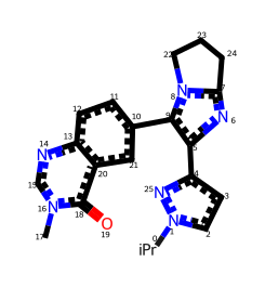 CC(C)n1ccc(-c2nc3n(c2-c2ccc4ncn(C)c(=O)c4c2)CCC3)n1